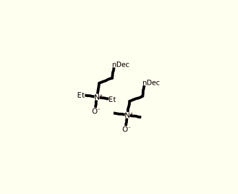 CCCCCCCCCCCC[N+](C)(C)[O-].CCCCCCCCCCCC[N+]([O-])(CC)CC